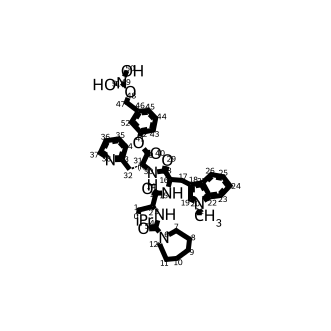 CC(C)CC(NC(=O)N1CCCCCC1)C(=O)NC(Cc1cn(C)c2ccccc12)C(=O)N[C@H](Cc1ccccn1)C(=O)Oc1cccc(CON(O)O)c1